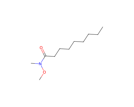 CCCCCCCCC(=O)N(C)OC